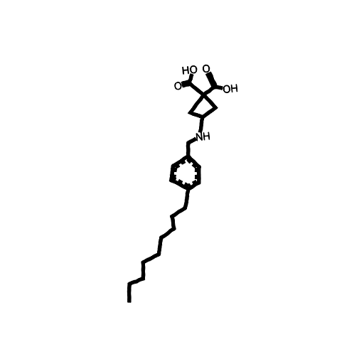 CCCCCCCCCc1ccc(CNC2CC(C(=O)O)(C(=O)O)C2)cc1